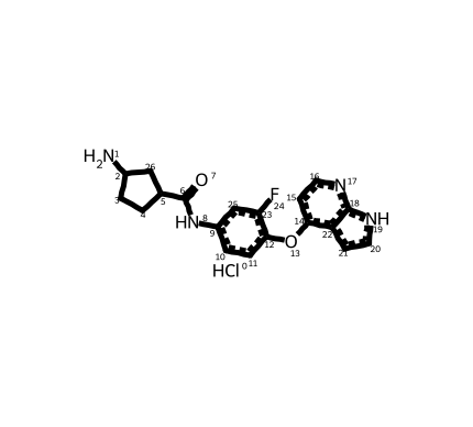 Cl.NC1CCC(C(=O)Nc2ccc(Oc3ccnc4[nH]ccc34)c(F)c2)C1